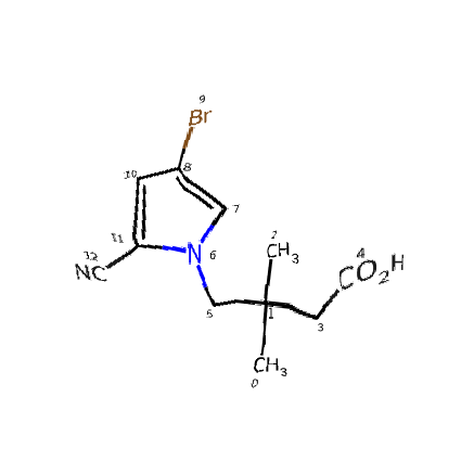 CC(C)(CC(=O)O)Cn1cc(Br)cc1C#N